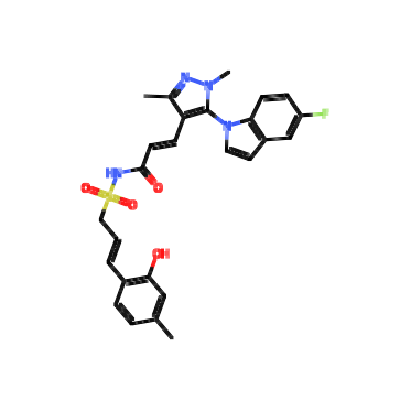 Cc1ccc(C=CCS(=O)(=O)NC(=O)/C=C/c2c(C)nn(C)c2-n2ccc3cc(F)ccc32)c(O)c1